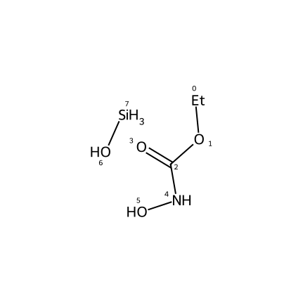 CCOC(=O)NO.O[SiH3]